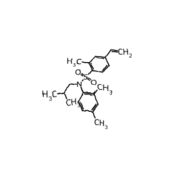 C=Cc1ccc(S(=O)(=O)N(CC(C)C)c2ccc(C)cc2C)c(C)c1